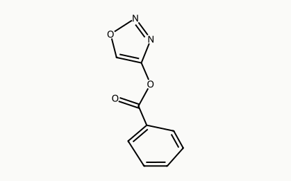 O=C(Oc1conn1)c1ccccc1